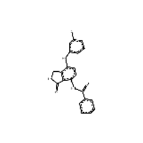 O=C(Nc1ccc(Nc2cccc(F)c2)c2c1C(=O)NC2)c1ccccc1